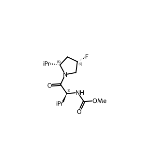 COC(=O)N[C@H](C(=O)N1C[C@@H](F)C[C@H]1C(C)C)C(C)C